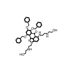 O=C1c2c(OCc3ccccc3)c(OCc3ccccc3)cc(OCc3ccccc3)c2-c2nn(CCNCCO)c3ccc(NCCNCCO)c1c23